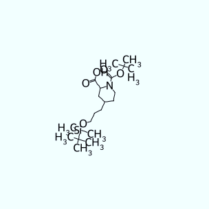 CC(C)(C)OC(=O)N1CCC(CCCO[Si](C)(C)C(C)(C)C)CC1C(=O)O